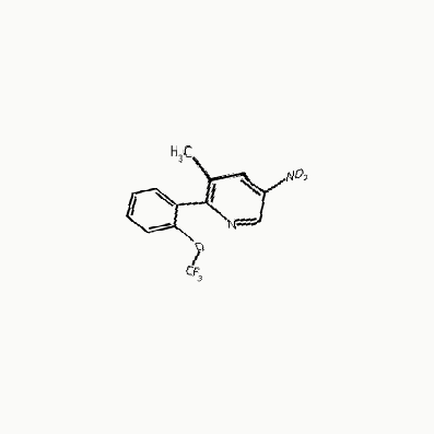 Cc1cc([N+](=O)[O-])cnc1-c1ccccc1OC(F)(F)F